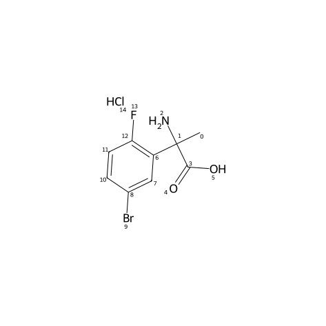 CC(N)(C(=O)O)c1cc(Br)ccc1F.Cl